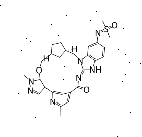 Cc1cc2cc(n1)C1C=NN(C)C1OC[C@H]1CC[C@H](C1)CN1/C(=N/C2=O)Nc2ccc(N=S(C)(C)=O)cc21